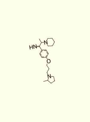 CC1CCCN1CCCOc1ccc(C(=N)C(C)N2CCCCC2)cc1